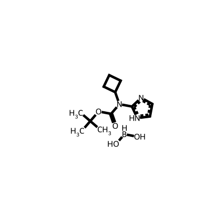 CC(C)(C)OC(=O)N(c1ncc[nH]1)C1CCC1.OBO